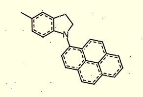 Cc1ccc2c(c1)CCN2c1ccc2ccc3cccc4ccc1c2c34